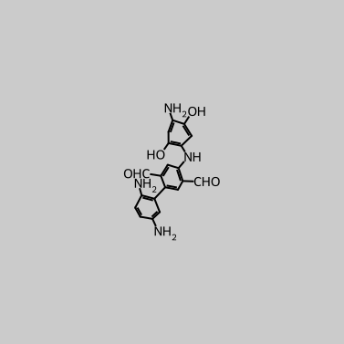 Nc1ccc(N)c(-c2cc(C=O)c(Nc3cc(O)c(N)cc3O)cc2C=O)c1